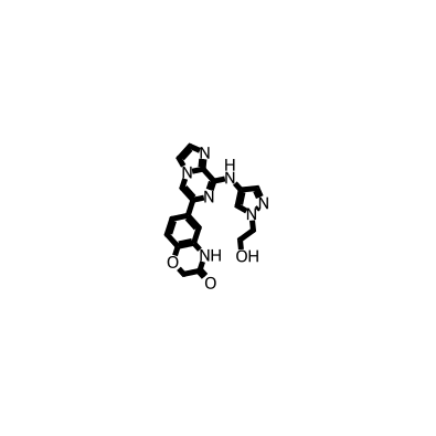 O=C1COc2ccc(-c3cn4ccnc4c(Nc4cnn(CCO)c4)n3)cc2N1